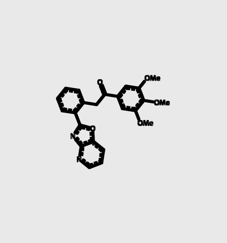 COc1cc(C(=O)Cc2ccccc2-c2nc3ncccc3o2)cc(OC)c1OC